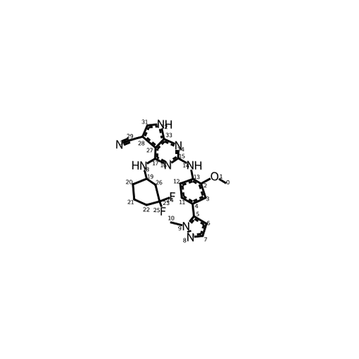 COc1cc(-c2ccnn2C)ccc1Nc1nc(NC2CCCC(F)(F)C2)c2c(C#N)c[nH]c2n1